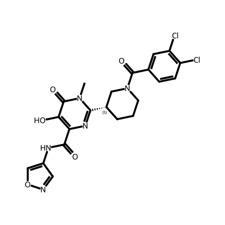 Cn1c([C@H]2CCCN(C(=O)c3ccc(Cl)c(Cl)c3)C2)nc(C(=O)Nc2cnoc2)c(O)c1=O